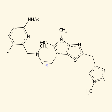 CC(=O)Nc1ccc(F)c(CN(C)/N=C\c2c(C=O)n(C)c3nc(Cc4cnn(C)c4)sc23)n1